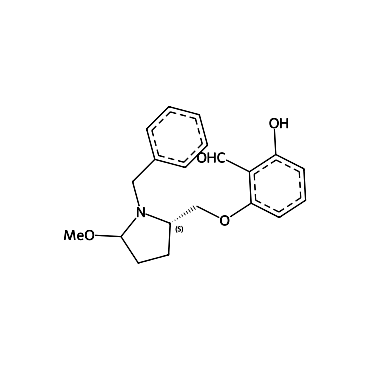 COC1CC[C@@H](COc2cccc(O)c2C=O)N1Cc1ccccc1